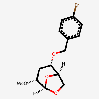 CO[C@@H]1C[C@H](OCc2ccc(Br)cc2)[C@H]2CO[C@@H]1O2